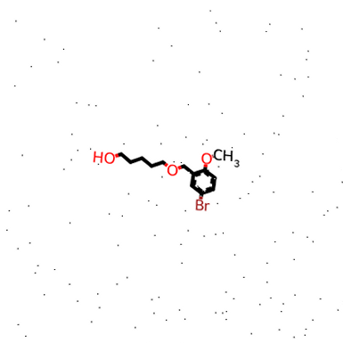 COc1ccc(Br)cc1COCCCCCO